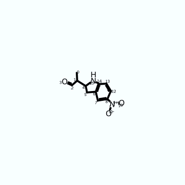 CC(C=O)C1Cc2cc([N+](=O)[O-])ccc2N1